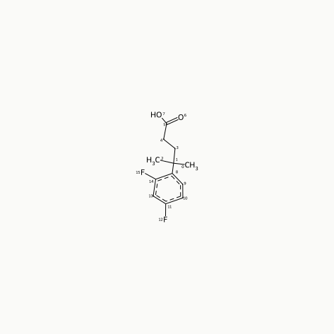 CC(C)(CCC(=O)O)c1ccc(F)cc1F